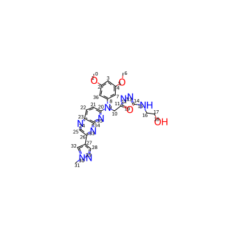 COc1cc(OC)cc(N(Cc2nnc(NCCO)o2)c2ccc3ncc(-c4cnn(C)c4)nc3n2)c1